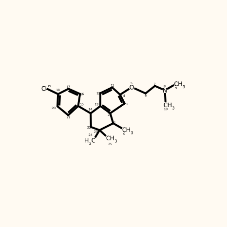 CC1c2cc(OCCN(C)C)ccc2C(c2ccc(Cl)cc2)CC1(C)C